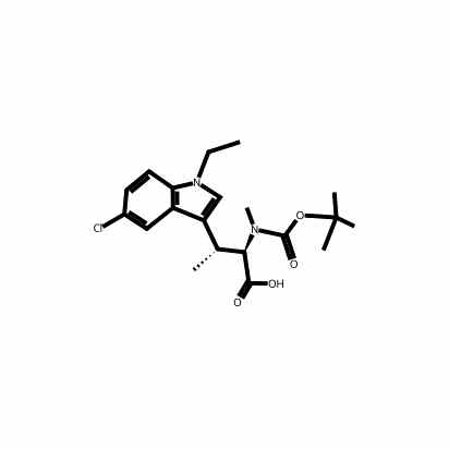 CCn1cc([C@@H](C)[C@H](C(=O)O)N(C)C(=O)OC(C)(C)C)c2cc(Cl)ccc21